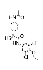 CCOc1c(Cl)cc(NC(=O)N(S)c2ccc(NC(C)=O)cc2)cc1Cl